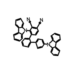 N#Cc1ccc(-c2ccccc2-c2ccc(-n3c4ccccc4c4ccccc43)cc2)c(-n2c3ccccc3c3ccccc32)c1C#N